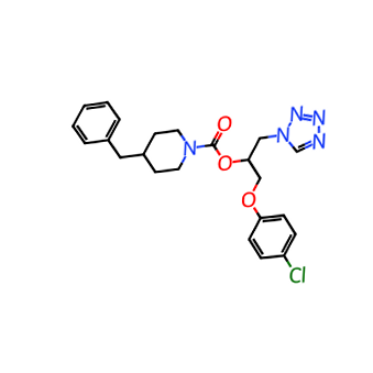 O=C(OC(COc1ccc(Cl)cc1)Cn1cnnn1)N1CCC(Cc2ccccc2)CC1